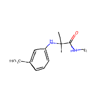 CCNC(=O)C(C)(C)Nc1cccc(C(=O)O)c1